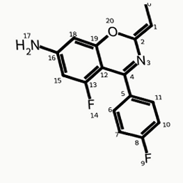 C/C=C1/N=C(c2ccc(F)cc2)c2c(F)cc(N)cc2O1